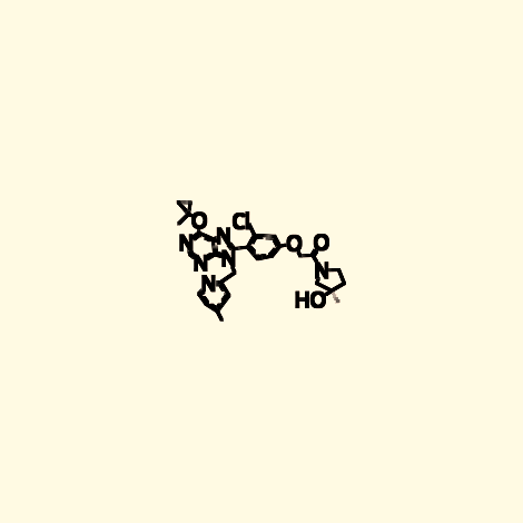 Cc1ccnc(Cn2c(-c3ccc(OCC(=O)N4CC[C@@](C)(O)C4)cc3Cl)nc3c(OC4(C)CC4)ncnc32)c1